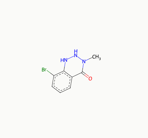 CN1NNc2c(Br)cccc2C1=O